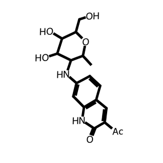 CC(=O)c1cc2ccc(NC3C(C)OC(CO)C(O)C3O)cc2[nH]c1=O